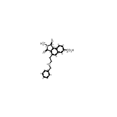 CN1C(=O)c2c(CCOCc3ccccc3)cc3cc(C(=O)O)ccc3c2C1=O